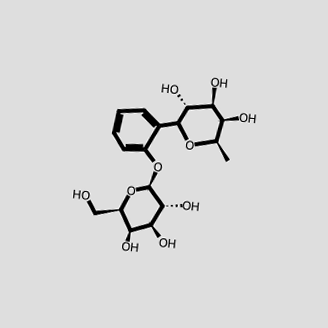 C[C@H]1OC(c2ccccc2O[C@@H]2O[C@H](CO)[C@H](O)[C@H](O)[C@H]2O)[C@H](O)[C@@H](O)[C@H]1O